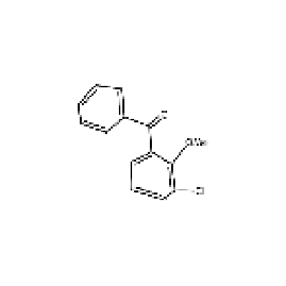 COc1c(Cl)[c]ccc1C(=O)c1ccccc1